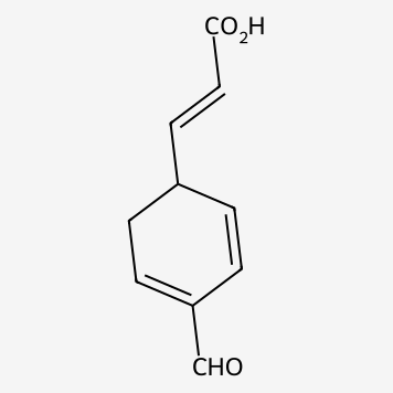 O=CC1=CCC(C=CC(=O)O)C=C1